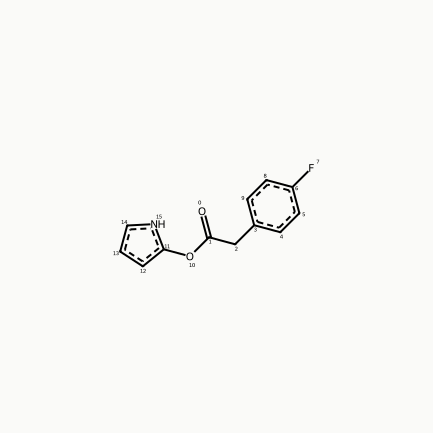 O=C(Cc1ccc(F)cc1)Oc1ccc[nH]1